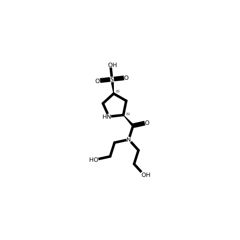 O=C([C@@H]1C[C@H](S(=O)(=O)O)CN1)N(CCO)CCO